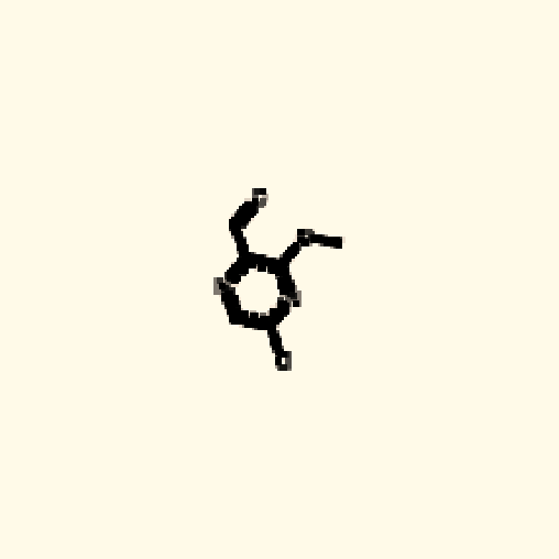 COc1nc(Cl)cnc1C=O